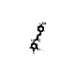 CC(C)(C)c1ccc(/C=C/C(=O)Nc2ccc(Cl)c([N+](=O)[O-])c2)cc1